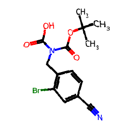 CC(C)(C)OC(=O)N(Cc1ccc(C#N)cc1Br)C(=O)O